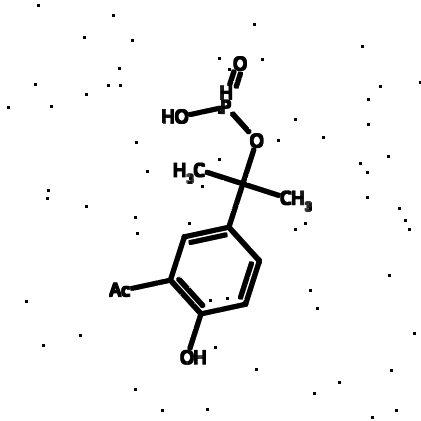 CC(=O)c1cc(C(C)(C)O[PH](=O)O)ccc1O